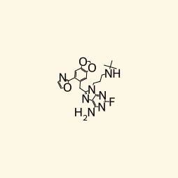 CC(C)(C)NCCCn1c(Cc2cc3c(cc2-c2ncco2)OCO3)nc2c(N)nc(F)nc21